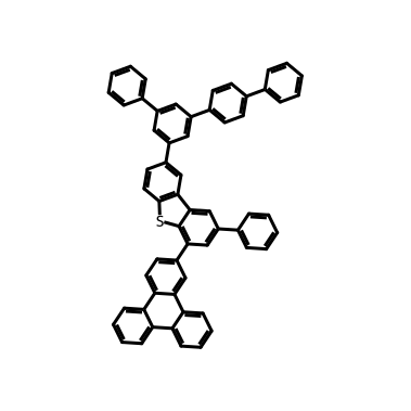 c1ccc(-c2ccc(-c3cc(-c4ccccc4)cc(-c4ccc5sc6c(-c7ccc8c9ccccc9c9ccccc9c8c7)cc(-c7ccccc7)cc6c5c4)c3)cc2)cc1